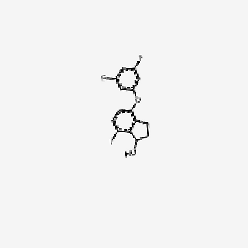 OC1CCc2c(Oc3cc(F)cc(F)c3)ccc(I)c21